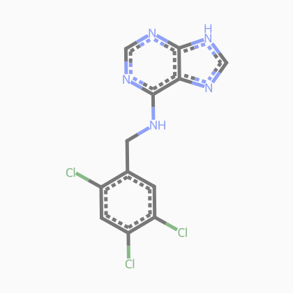 Clc1cc(Cl)c(CNc2ncnc3[nH]cnc23)cc1Cl